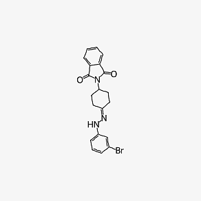 O=C1c2ccccc2C(=O)N1C1CCC(=NNc2cccc(Br)c2)CC1